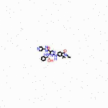 C=CCN1C(=O)c2ccc(Nc3ncc(-c4nc(-c5ccncc5)no4)c(N[C@H](CO)c4ccccc4)n3)cc2C1(C)C